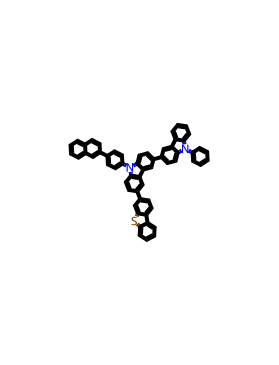 c1ccc(-n2c3ccccc3c3cc(-c4ccc5c(c4)c4cc(-c6ccc7c(c6)sc6ccccc67)ccc4n5-c4ccc(-c5ccc6ccccc6c5)cc4)ccc32)cc1